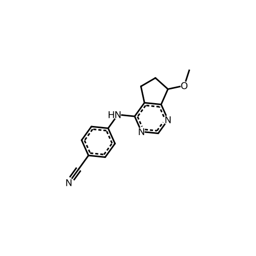 COC1CCc2c(Nc3ccc(C#N)cc3)ncnc21